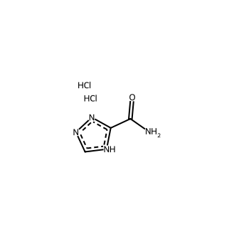 Cl.Cl.NC(=O)c1nnc[nH]1